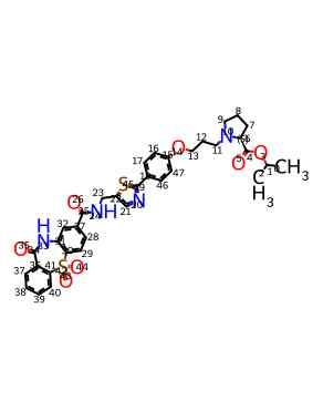 CC(C)OC(=O)[C@@H]1CCCN1CCCOc1ccc(-c2ncc(CNC(=O)c3ccc4c(c3)NC(=O)c3ccccc3S4(=O)=O)s2)cc1